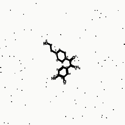 C=C(C(=O)N1CCN(CCO)CC1)c1ccc(S)c(Cl)c1